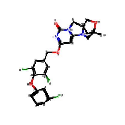 O=c1nc(OCc2cc(F)c(Oc3cccc(F)c3)c(F)c2)cc2n1C[C@]13CO[C@H](CN21)C3